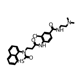 CN(C)CCNC(=O)c1ccc(NC(=O)CCN(C(=O)S)c2cccc3ccccc23)c(Cl)c1